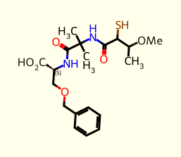 COC(C)C(S)C(=O)NC(C)(C)C(=O)N[C@@H](COCc1ccccc1)C(=O)O